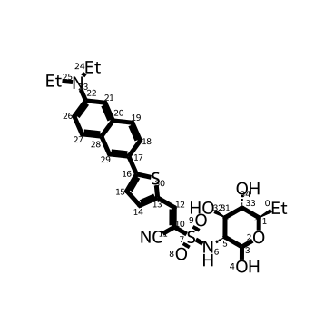 CC[C@H]1OC(O)[C@H](NS(=O)(=O)/C(C#N)=C/c2ccc(-c3ccc4cc(N(CC)CC)ccc4c3)s2)[C@@H](O)[C@@H]1O